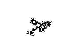 COC(=O)C=CCC1OC(C)(C)N(C(=O)OC(C)(C)C)C1Cc1ccccc1